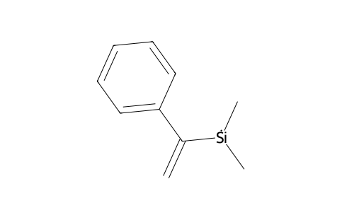 C=C(c1ccccc1)[Si](C)C